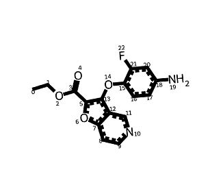 CCOC(=O)c1oc2ccncc2c1Oc1ccc(N)cc1F